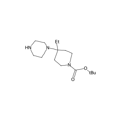 CCC1(N2CCNCC2)CCN(C(=O)OC(C)(C)C)CC1